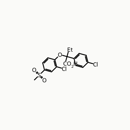 CCC(Oc1ccc(S(C)(=O)=O)cc1Cl)(C(=O)O)c1ccc(Cl)cc1